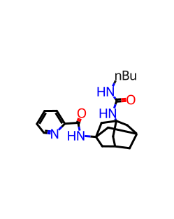 CCCCNC(=O)NC12CC3CC(C1)CC(NC(=O)c1ccccn1)(C3)C2